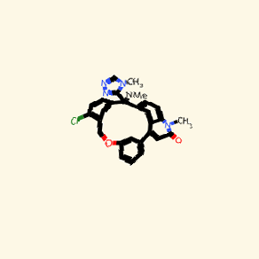 CNC1(c2nncn2C)c2ccc(Cl)c(c2)COc2cccc(c2)-c2cc(=O)n(C)c3ccc1cc23